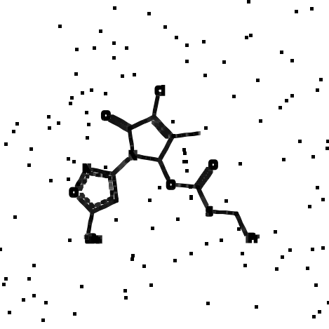 CC1=C(Cl)C(=O)N(c2cc(C(C)(C)C)on2)C1OC(=O)SCC(C)C